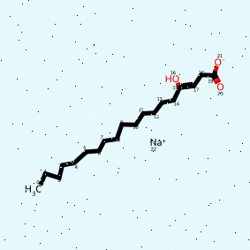 CCCCCCCCCCCCCCCC(O)=CCC(=O)[O-].[Na+]